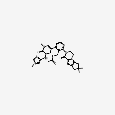 CC(=O)OCc1c(C2=CN(C)C(=O)C(Nc3cn(C)cn3)C2)ccnc1N1CCn2c(cc3c2CC(C)(C)C3)C1=O